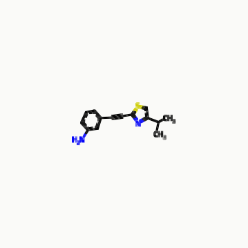 CC(C)c1csc(C#Cc2cccc(N)c2)n1